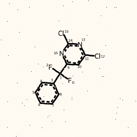 FC(F)(c1ccccc1)c1cc(Cl)nc(Cl)n1